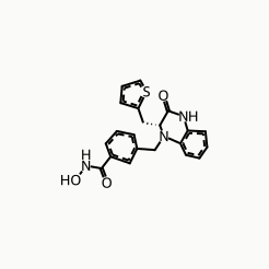 O=C(NO)c1cccc(CN2c3ccccc3NC(=O)[C@H]2Cc2cccs2)c1